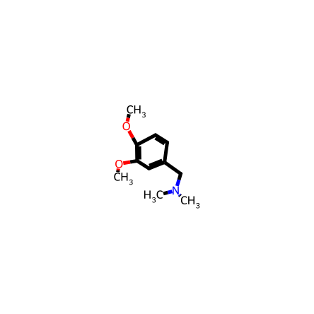 COc1ccc(CN(C)C)cc1OC